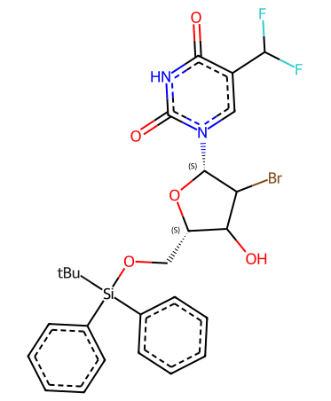 CC(C)(C)[Si](OC[C@@H]1O[C@H](n2cc(C(F)F)c(=O)[nH]c2=O)C(Br)C1O)(c1ccccc1)c1ccccc1